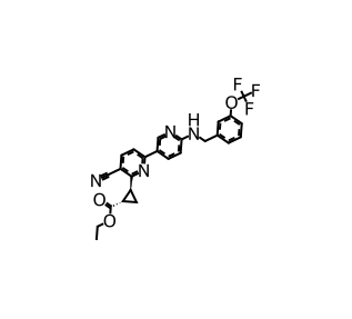 CCOC(=O)[C@H]1C[C@@H]1c1nc(-c2ccc(NCc3cccc(OC(F)(F)F)c3)nc2)ccc1C#N